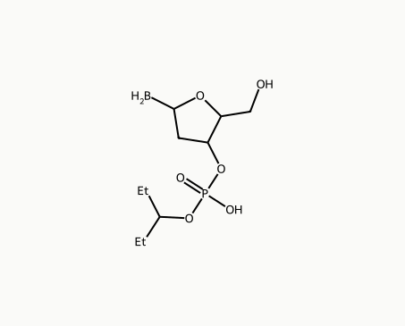 BC1CC(OP(=O)(O)OC(CC)CC)C(CO)O1